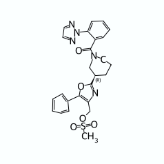 CS(=O)(=O)OCc1nc([C@@H]2CCCN(C(=O)c3ccccc3-n3nccn3)C2)oc1-c1ccccc1